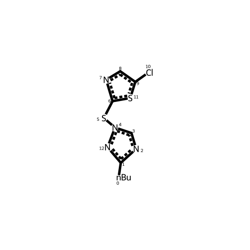 CCCCc1ncn(Sc2ncc(Cl)s2)n1